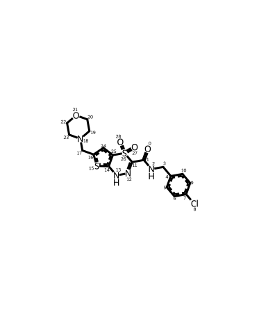 O=C(NCc1ccc(Cl)cc1)C1=NNc2sc(CN3CCOCC3)cc2S1(=O)=O